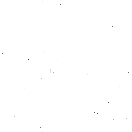 F/C(=C(\OC1CCCC1)C(F)(F)F)N1C(F)(F)C(F)(F)OC(F)(F)C1(F)F